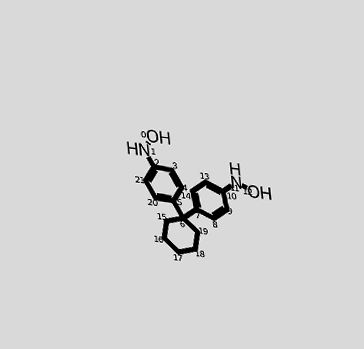 ONc1ccc(C2(c3ccc(NO)cc3)CCCCC2)cc1